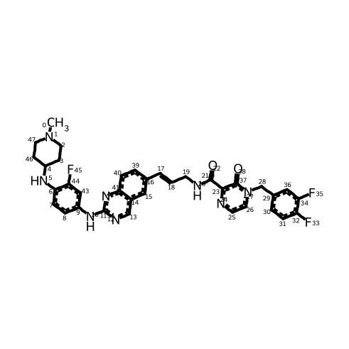 CN1CCC(Nc2ccc(Nc3ncc4cc(C=CCNC(=O)c5nccn(Cc6ccc(F)c(F)c6)c5=O)ccc4n3)cc2F)CC1